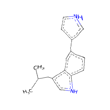 CC(C)c1c[nH]c2ccc(-c3cc[nH]c3)cc12